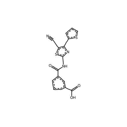 N#Cc1sc(NC(=O)c2cccc(C(=O)O)c2)nc1-c1cccs1